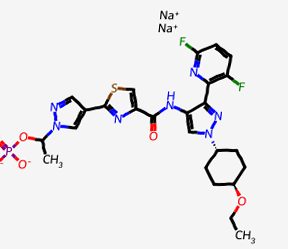 CCO[C@H]1CC[C@H](n2cc(NC(=O)c3csc(-c4cnn(C(C)OP(=O)([O-])[O-])c4)n3)c(-c3nc(F)ccc3F)n2)CC1.[Na+].[Na+]